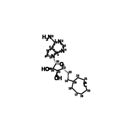 Nc1ncnc2c1ccn2[C@@H]1O[C@H](CCC2CCCCCCC2)[C@@H](O)[C@H]1O